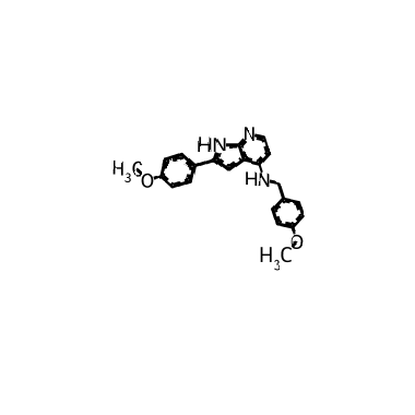 COc1ccc(CNc2ccnc3[nH]c(-c4ccc(OC)cc4)cc23)cc1